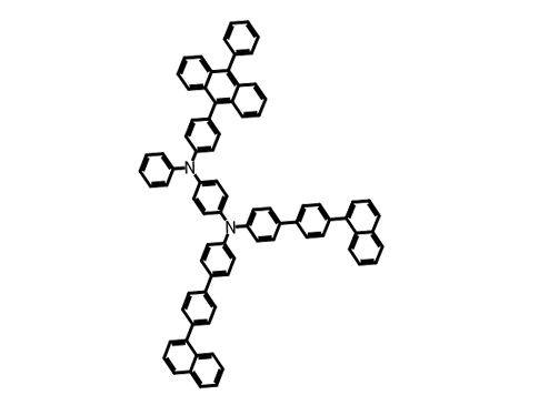 c1ccc(-c2c3ccccc3c(-c3ccc(N(c4ccccc4)c4ccc(N(c5ccc(-c6ccc(-c7cccc8ccccc78)cc6)cc5)c5ccc(-c6ccc(-c7cccc8ccccc78)cc6)cc5)cc4)cc3)c3ccccc23)cc1